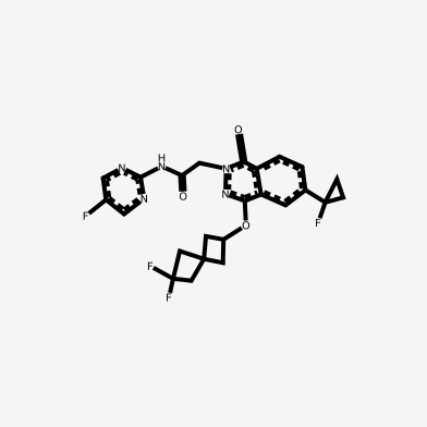 O=C(Cn1nc(OC2CC3(C2)CC(F)(F)C3)c2cc(C3(F)CC3)ccc2c1=O)Nc1ncc(F)cn1